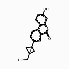 O=c1oc2cc(O)ccc2c2ccc(C34CC(CO)(C3)C4)cc12